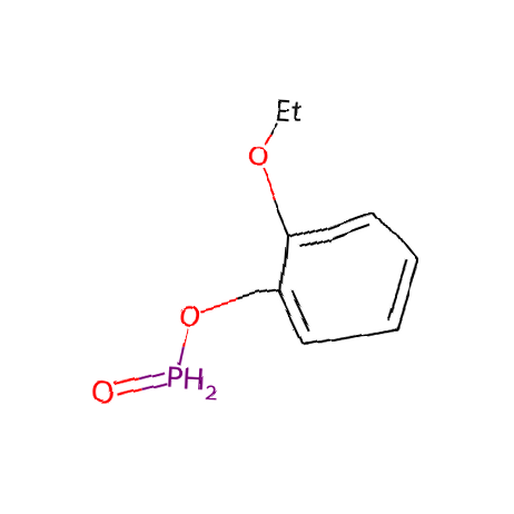 CCOc1ccccc1O[PH2]=O